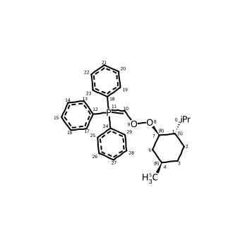 CC(C)[C@@H]1CC[C@@H](C)C[C@H]1OOC=P(c1ccccc1)(c1ccccc1)c1ccccc1